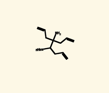 C=CCC(CCCCCC)C(N)(CC=C)CC=C